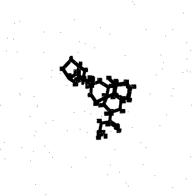 CCOC(=O)N1C2CCC1CC(N1CCC3(CC1)CN(C(=O)CC(F)(F)F)Cc1cccc(C)c13)C2